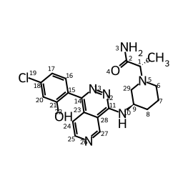 C[C@@H](C(N)=O)N1CCC[C@@H](Nc2nnc(-c3ccc(Cl)cc3O)c3ccncc23)C1